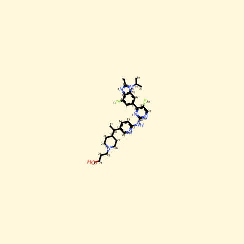 Cc1nc2c(F)cc(-c3nc(Nc4ccc(C(C)C5CCN(CCCO)CC5)cn4)ncc3F)cc2n1C(C)C